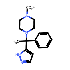 CC(c1ccccc1)(c1ccn[nH]1)N1CCN(C(=O)O)CC1